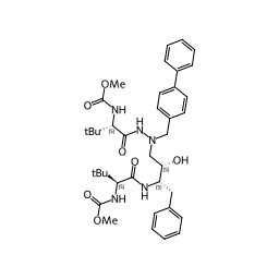 COC(=O)N[C@H](C(=O)N[C@@H](Cc1ccccc1)[C@@H](O)CN(Cc1ccc(-c2ccccc2)cc1)NC(=O)[C@@H](NC(=O)OC)C(C)(C)C)C(C)(C)C